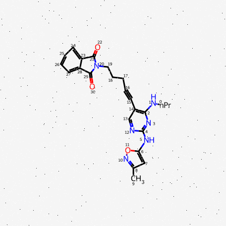 CCCNc1nc(Nc2cc(C)no2)ncc1C#CCCCN1C(=O)c2ccccc2C1=O